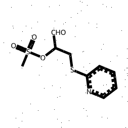 CS(=O)(=O)OC(C=O)CSc1ccccn1